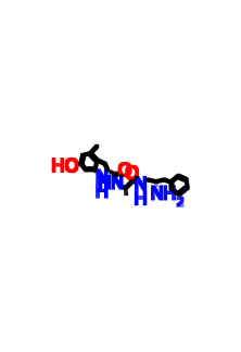 Cc1cc(O)cc2c1C[C@@H](C(=O)N[C@H](C)C(=O)NC[C@@H](N)Cc1ccccc1)N2